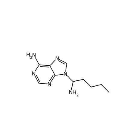 CCCCC(N)n1cnc2c(N)ncnc21